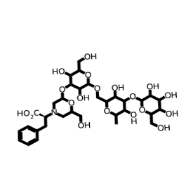 CC1OC(COC2OC(CO)C(O)C(OC3CN([C@@H](Cc4ccccc4)C(=O)O)CC(CO)O3)C2O)C(O)C(OC2OC(CO)C(O)C(O)C2O)C1O